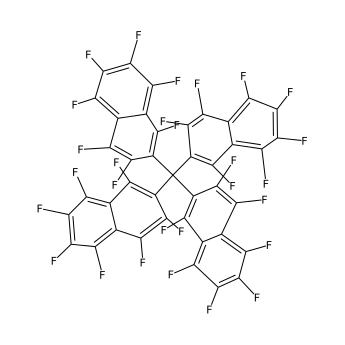 Fc1c(F)c(F)c2c(F)c(C(c3c(F)c(F)c4c(F)c(F)c(F)c(F)c4c3F)(c3c(F)c(F)c4c(F)c(F)c(F)c(F)c4c3F)c3c(F)c(F)c4c(F)c(F)c(F)c(F)c4c3F)c(F)c(F)c2c1F